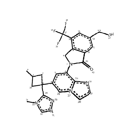 CC1CC(c2cc(N3Cc4c(cc(CO)cc4C(F)(F)F)C3=O)c3nccn3c2)(c2nncn2C)C1